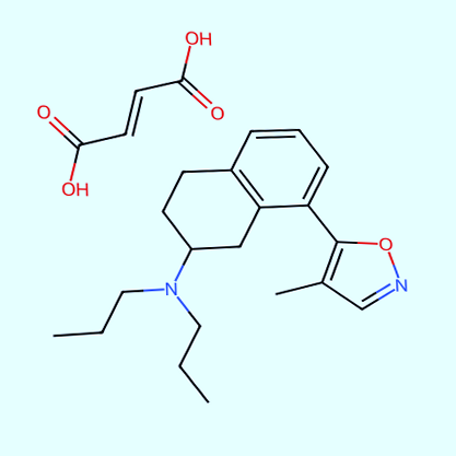 CCCN(CCC)C1CCc2cccc(-c3oncc3C)c2C1.O=C(O)C=CC(=O)O